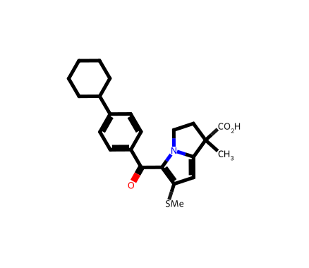 CSc1cc2n(c1C(=O)c1ccc(C3CCCCC3)cc1)CCC2(C)C(=O)O